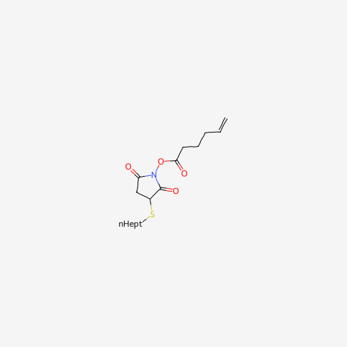 C=CCCCC(=O)ON1C(=O)CC(SCCCCCCC)C1=O